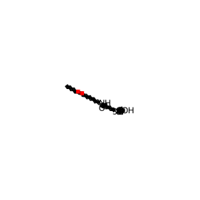 CCCCCCCCCCCCCCCCCCNC(=O)CCCCCSc1ccc(O)cc1